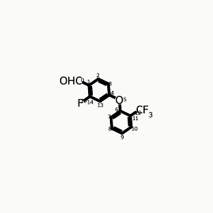 O=Cc1ccc(Oc2ccccc2C(F)(F)F)cc1F